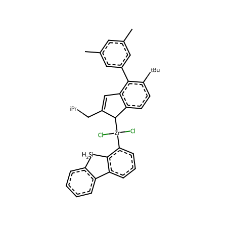 Cc1cc(C)cc(-c2c(C(C)(C)C)ccc3c2C=C(CC(C)C)[CH]3[Zr]([Cl])([Cl])[c]2cccc3c2[SiH2]c2ccccc2-3)c1